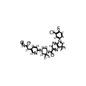 CC1(C)CN(c2ccc(F)c(Cl)c2)c2ncc(C(=O)N3CCN(c4ccc(CC(=O)N=O)cn4)CC3(C)C)nc21